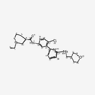 CCN1CCC[C@@H](C(=O)Nc2cc(-c3cccc(NCC4CCOCC4)n3)c(Cl)cn2)C1